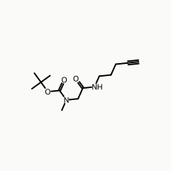 C#CCCCNC(=O)CN(C)C(=O)OC(C)(C)C